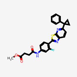 COC(=O)CCC(=O)Nc1ccc(-c2nc3ccc(C4(c5ccccc5)CC4)nc3s2)c(F)c1